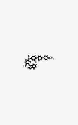 CN1CCN(C2CCN(c3ccc(Nc4ncc(Cl)c(-n5ccc6ccccc65)n4)cc3Cl)CC2)CC1